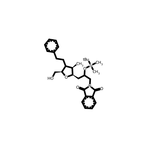 C[C@@H]1C(CCc2ccccc2)[C@H](CO)O[C@@H]1CC(CN1C(=O)c2ccccc2C1=O)O[Si](C)(C)C(C)(C)C